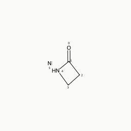 O=C1CCN1.[N]